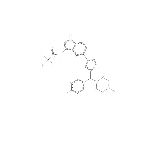 CN1CCN(C(c2ccc(F)cc2)c2cc(-c3ccc4[nH]cc(OC(=O)C(F)(F)F)c4c3)co2)CC1